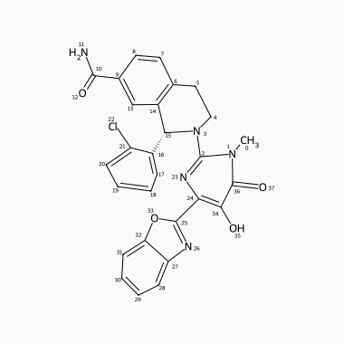 Cn1c(N2CCc3ccc(C(N)=O)cc3[C@H]2c2ccccc2Cl)nc(-c2nc3ccccc3o2)c(O)c1=O